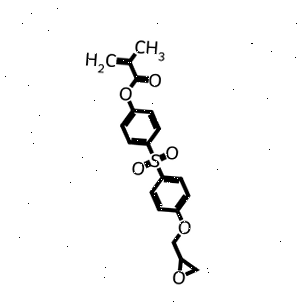 C=C(C)C(=O)Oc1ccc(S(=O)(=O)c2ccc(OCC3CO3)cc2)cc1